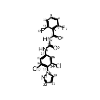 O=C(NC(=O)c1c(F)cccc1F)Nc1cc(Cl)c(-n2cccn2)c(Cl)c1